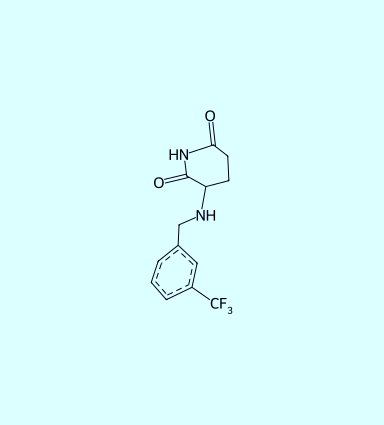 O=C1CCC(NCc2cccc(C(F)(F)F)c2)C(=O)N1